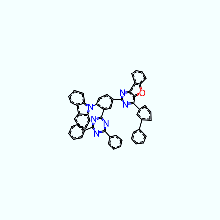 c1ccc(-c2cccc(-c3nc(-c4ccc(-n5c6ccccc6c6ccccc65)c(-c5nc(-c6ccccc6)nc(-c6ccccc6)n5)c4)nc4c3oc3ccccc34)c2)cc1